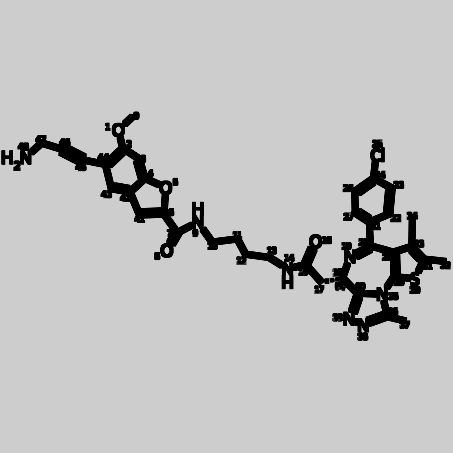 COc1cc2oc(C(=O)NCCCCNC(=O)C[C@@H]3N=C(c4ccc(Cl)cc4)c4c(sc(C)c4C)-n4c(C)nnc43)cc2cc1C#CCN